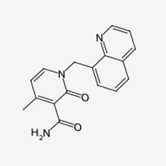 Cc1ccn(Cc2cccc3cccnc23)c(=O)c1C(N)=O